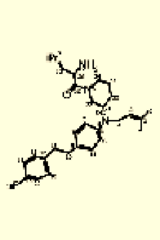 CC(C)=CCN(c1ccc(CCc2ccc(F)cc2)cc1)[C@H]1CCCN(C(=O)C(N)CC(C)C)C1